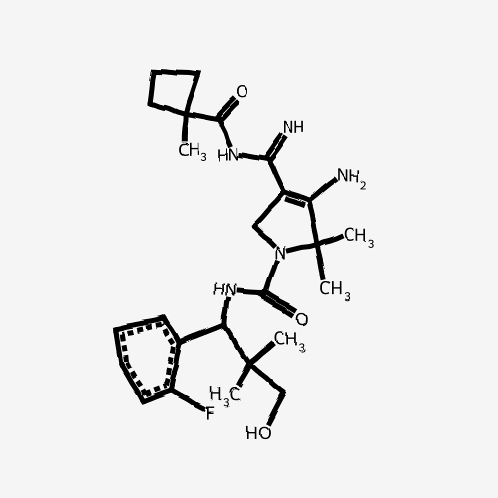 CC1(C(=O)NC(=N)C2=C(N)C(C)(C)N(C(=O)NC(c3ccccc3F)C(C)(C)CO)C2)CCC1